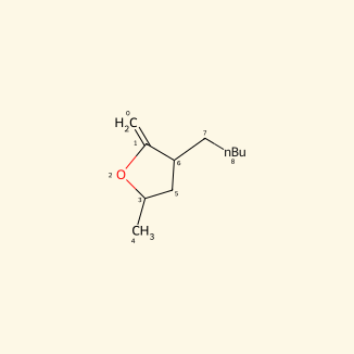 C=C1OC(C)CC1CCCCC